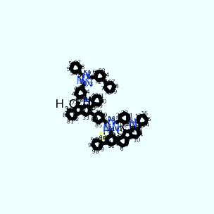 CC1(C)c2ccccc2-c2ccc3c4ccccc4n(-c4cccc(-c5nc(-c6ccc(-c7cc8c(c9c7c7ccccc7n9-c7cccc(-c9nc(-c%10ccccc%10)nc(-c%10cccc(-c%11ccccc%11)c%10)n9)c7)C(C)(C)c7ccccc7-8)cc6)nc(-c6cccc7c6sc6ccccc67)n5)c4)c3c21